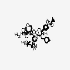 CC(C)(O)c1cnnn1[C@H]1C[C@@H](C(=O)N[C@@]2(C(=O)C(N)=O)CCCOCC2)N(C(=O)[C@@H](CC2CCCCC2)NC(=O)c2ccc(S(=O)(=O)C3CC3)cc2)C1